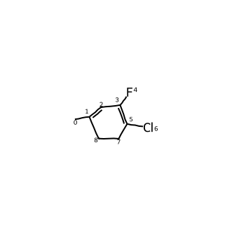 CC1=CC(F)=C(Cl)CC1